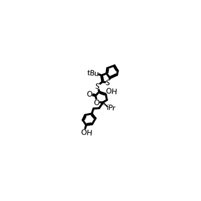 CC(C)[C@]1(CCc2ccc(O)cc2)CC(O)=C(Sc2sc3ccccc3c2C(C)(C)C)C(=O)O1